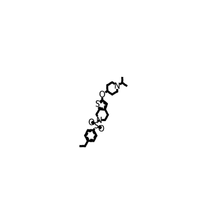 CCc1ccc(S(=O)(=O)N2CCc3cc(OC4CCN(C(C)C)CC4)sc3C2)cc1